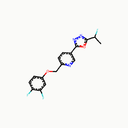 CC(F)c1nnc(-c2ccc(COc3ccc(F)c(F)c3)nc2)o1